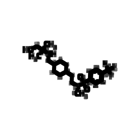 CN(CCC1CCC(CNC(C)(C)CO)CC1)S(=O)(=O)c1ccc(C(F)(F)F)cc1